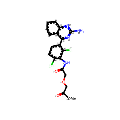 COC(=O)COCC(=O)Nc1c(Cl)ccc(-c2nc(N)nc3ccccc23)c1Cl